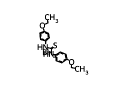 B.CCOc1ccc(NC(=S)Nc2ccc(OCC)cc2)cc1